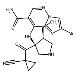 CC[C@H]1CNC[C@]1(Nc1c(C(N)=O)cnn2cc(Br)nc12)C(=O)C1(C#N)CC1